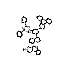 C1=Cc2c(c(-c3cccc4c(-c5cc(-c6ccc7c8ccccc8c8ccccc8c7c6)cc(C6N=C(c7ccccc7)N=C(c7ccccc7)N6)c5)cccc34)nc3ccccc23)CN1